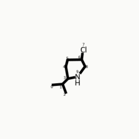 CC(C)C1CCC(Cl)CN1